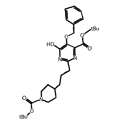 CC(C)(C)OC(=O)c1nc(CCCC2CCN(C(=O)OC(C)(C)C)CC2)nc(O)c1OCc1ccccc1